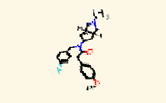 CC(C)Oc1ccc(CC(=O)N(Cc2ccc(F)cc2)C2C[C@@H]3CN(C)C[C@@H]3C2)cc1